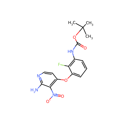 CC(C)(C)OC(=O)Nc1cccc(Oc2ccnc(N)c2[N+](=O)[O-])c1F